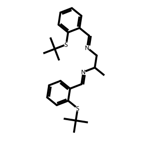 CC(CN=Cc1ccccc1SC(C)(C)C)N=Cc1ccccc1SC(C)(C)C